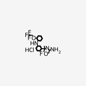 CC1(c2cc(Nc3ccccc3OCC(F)(F)F)ccc2F)COCC(N)=N1.Cl